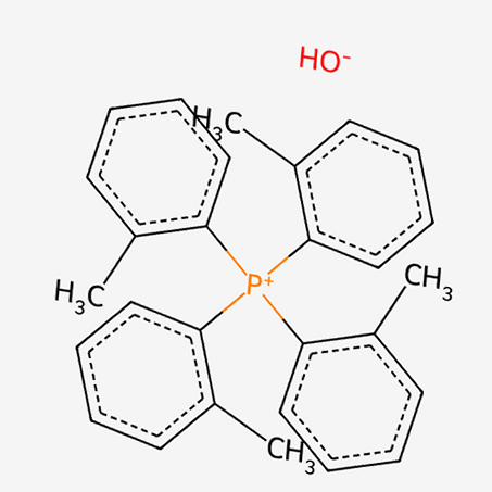 Cc1ccccc1[P+](c1ccccc1C)(c1ccccc1C)c1ccccc1C.[OH-]